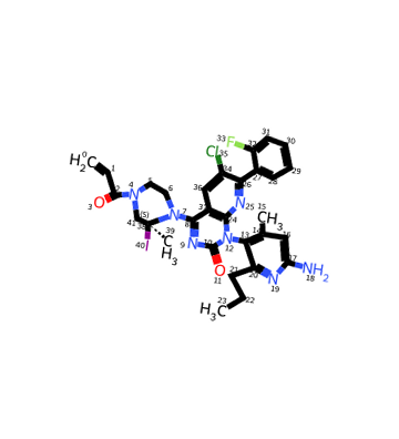 C=CC(=O)N1CCN(c2nc(=O)n(-c3c(C)cc(N)nc3CCC)c3nc(-c4ccccc4F)c(Cl)cc23)[C@@](C)(I)C1